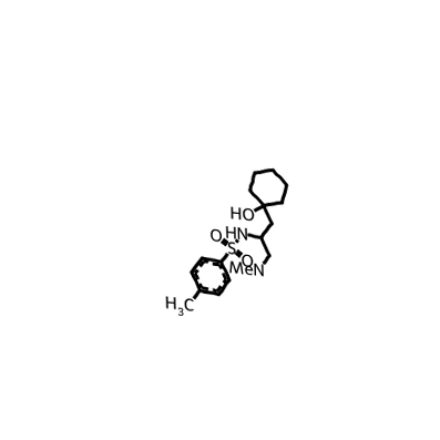 CNCC(CC1(O)CCCCC1)NS(=O)(=O)c1ccc(C)cc1